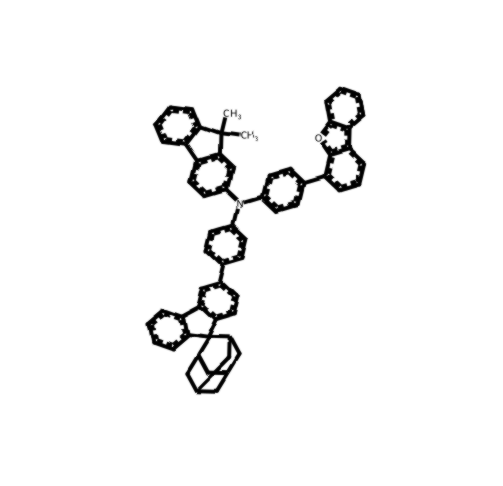 CC1(C)c2ccccc2-c2ccc(N(c3ccc(-c4ccc5c(c4)-c4ccccc4C54C5CC6CC(C5)CC4C6)cc3)c3ccc(-c4cccc5c4oc4ccccc45)cc3)cc21